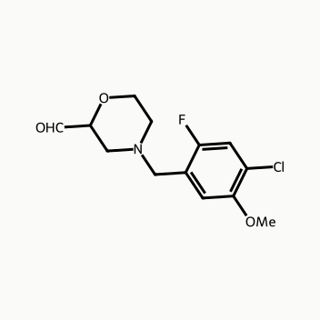 COc1cc(CN2CCOC(C=O)C2)c(F)cc1Cl